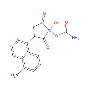 NC(=O)O[N+]1(O)C(=O)CC(c2nccc3c(N)cccc23)C1=O